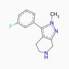 Cn1nc2c(c1-c1cccc(F)c1)CCNC2